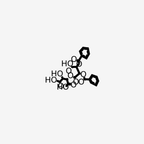 O=C(OC(C(=O)O)C(OC(=O)c1ccccc1)C(=O)OC(C(=O)O)C(O)C(=O)O)c1ccccc1